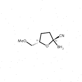 B[C@@]1(C#N)CC[C@@H](COC)O1